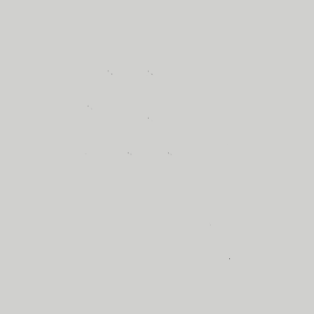 COCCN(CCCC(=O)OC(C)(C)C)c1nc(O)c2nc(Cl)nc(N3CCC(OC)CC3)c2n1